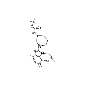 CC#CCn1c(N2CCC[C@@H](NC(=O)OC(C)(C)C)C2)nc2c(C)n[nH]c(=O)c21